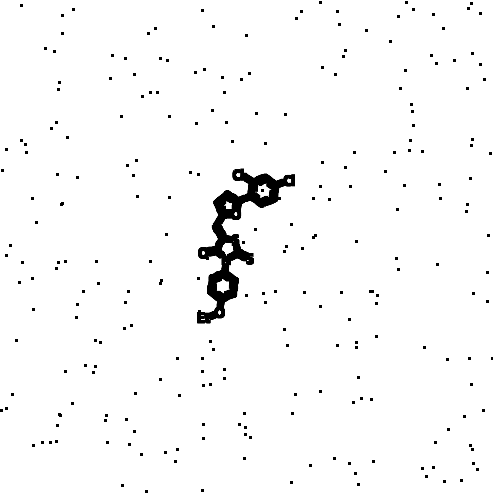 CCOc1ccc(N2C(=O)C(=Cc3ccc(-c4ccc(Cl)cc4Cl)o3)SC2=S)cc1